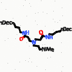 CCCCCCCCCCCCCCNC(=O)CCN(CCCNC)CCC(=O)NCCCCCCCCCCCCCC